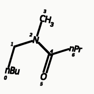 CCCCCN(C)C(=O)CCC